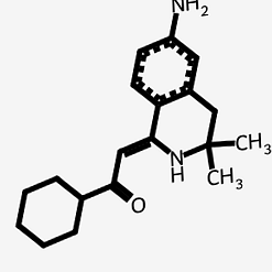 CC1(C)Cc2cc(N)ccc2C(=CC(=O)C2CCCCC2)N1